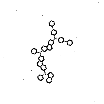 c1ccc(-c2ccc(N(c3ccc(-c4ccccc4)cc3)c3ccc4c(ccc5cc(N(c6ccccc6)c6ccc7c(ccc8cc(N(c9ccccc9)c9cccc%10ccccc9%10)ccc87)c6)ccc54)c3)cc2)cc1